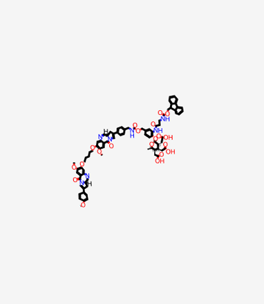 COc1ccc(C2=CN3C(=O)c4cc(OC)c(OCCCCCOc5cc6c(cc5OC)C(=O)N5C=C(c7ccc(CNC(=O)OCc8ccc(O[C@@H]9O[C@H](C)[C@H](CC(=O)O)[C@H](CC(=O)O)[C@H]9CC(=O)O)c(NC(=O)CCNC(=O)OCC9c%10ccccc%10-c%10ccccc%109)c8)cc7)C[C@H]5C=N6)cc4N=C[C@@H]3C2)cc1